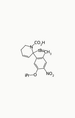 Cc1cc([N+](=O)[O-])c(OC(C)C)cc1C1(C(C)(C)C)C=CCCN1C(=O)O